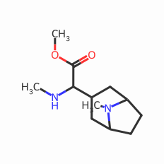 CNC(C(=O)OC)C1CC2CCC(C1)N2C